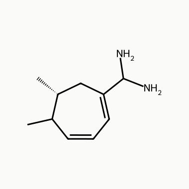 CC1C=CC=C(C(N)N)C[C@H]1C